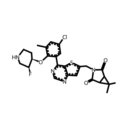 Cc1cc(Cl)cc(-c2ncnc3cc(CN4C(=O)C5C(C4=O)C5(C)C)sc23)c1O[C@@H]1CCNC[C@@H]1F